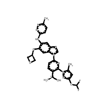 Cc1ccc(Nc2cc3ncn(-c4ccc([C@H](C)O)c(-n5nc(OC(F)F)cc5C)n4)c3cc2OC2COC2)nn1